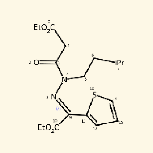 CCOC(=O)CC(=O)N(CCC(C)C)/N=C(/C(=O)OCC)c1cccs1